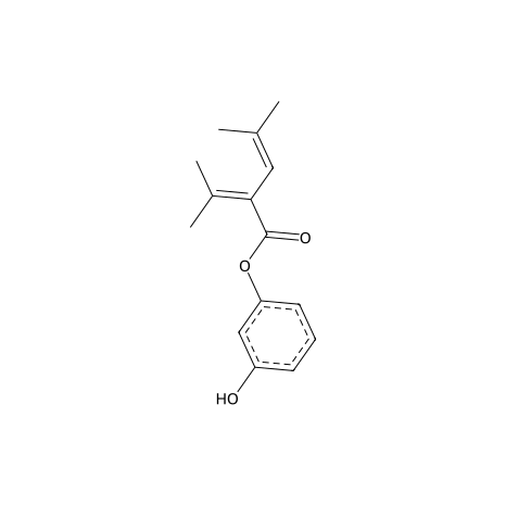 CC(C)=CC(C(=O)Oc1cccc(O)c1)=C(C)C